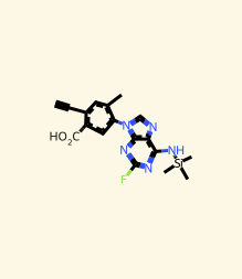 C#Cc1cc(C)c(-n2cnc3c(N[Si](C)(C)C)nc(F)nc32)cc1C(=O)O